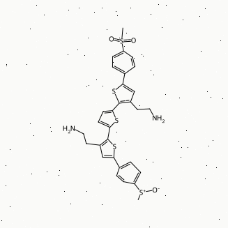 C[S+]([O-])c1ccc(-c2cc(CCN)c(-c3ccc(-c4sc(-c5ccc(S(C)(=O)=O)cc5)cc4CCN)s3)s2)cc1